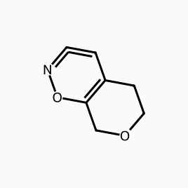 C1=CC2=C(COCC2)ON=1